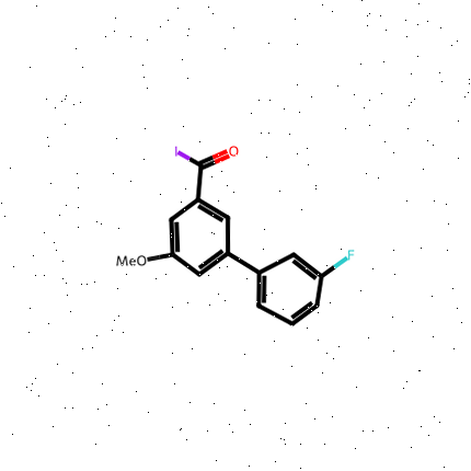 COc1cc(C(=O)I)cc(-c2cccc(F)c2)c1